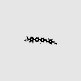 CCOc1ccc(CCc2ccc(C3CCC(c4ccc(C(C)O)c(F)c4F)CC3)c(F)c2)c(F)c1F